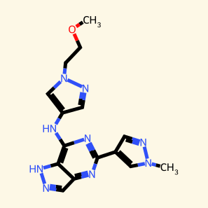 COCCn1cc(Nc2nc(-c3cnn(C)c3)nc3cn[nH]c23)cn1